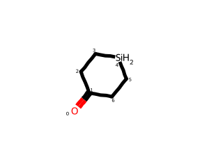 O=C1CC[SiH2]CC1